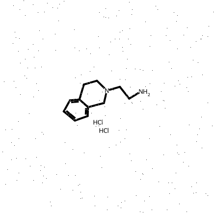 Cl.Cl.NCCN1CCc2ccccc2C1